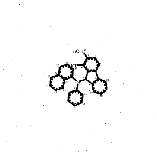 CCCCCCCCc1ccc2c(c1CCCCCCCC)C(N(c1ccccc1)c1cccc3ccccc13)c1ccccc1-2